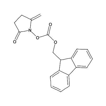 C=C1CCC(=O)N1OC(=O)OCC1c2ccccc2-c2ccccc21